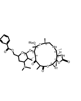 CC[C@H]1OC(=O)C(C)C(=O)[C@H](C)[C@@H](O[C@@H]2OC(COC(=O)c3ccccc3)CC(N(C)C)C2C)[C@](C)(OC)C[C@@H](C)CN[C@H](C)[C@H]2NC(=O)O[C@@]21C